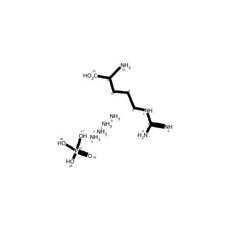 N.N.N.N.N=C(N)NCCCC(N)C(=O)O.O=P(O)(O)O